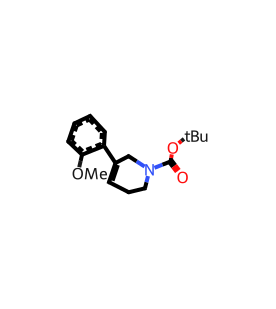 COc1ccccc1C1=CCCN(C(=O)OC(C)(C)C)C1